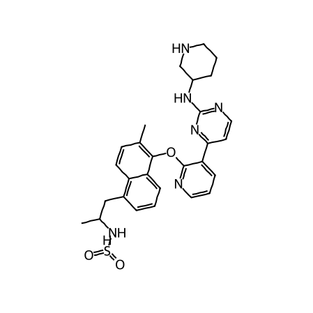 Cc1ccc2c(CC(C)N[SH](=O)=O)cccc2c1Oc1ncccc1-c1ccnc(NC2CCCNC2)n1